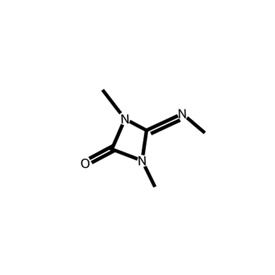 CN=C1N(C)C(=O)N1C